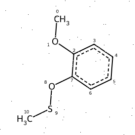 COc1ccccc1OSC